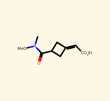 CCOC(=O)C=C1CC(C(=O)N(C)OC)C1